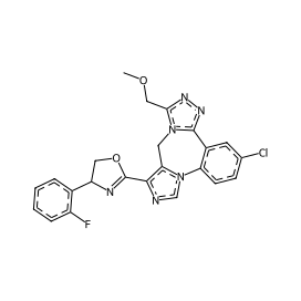 COCc1nnc2n1Cc1c(C3=NC(c4ccccc4F)CO3)ncn1-c1ccc(Cl)cc1-2